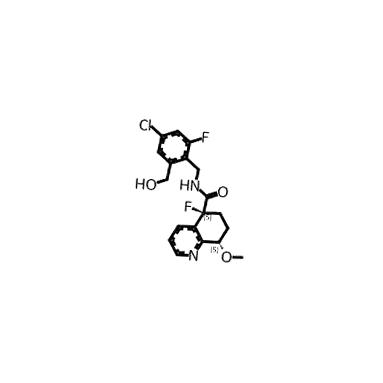 CO[C@H]1CC[C@@](F)(C(=O)NCc2c(F)cc(Cl)cc2CO)c2cccnc21